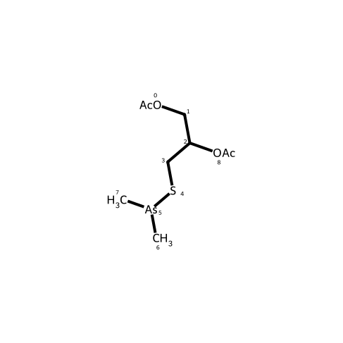 CC(=O)OCC(CS[As](C)C)OC(C)=O